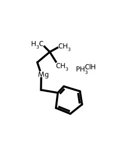 CC(C)(C)[CH2][Mg][CH2]c1ccccc1.Cl.P